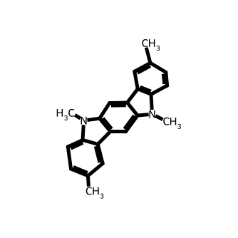 Cc1ccc2c(c1)c1cc3c(cc1n2C)c1cc(C)ccc1n3C